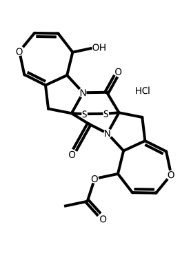 CC(=O)OC1C=COC=C2CC34SSC5(CC6=COC=CC(O)C6N5C3=O)C(=O)N4C21.Cl